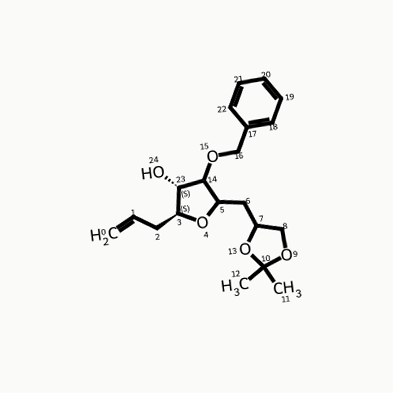 C=CC[C@@H]1OC(CC2COC(C)(C)O2)C(OCc2ccccc2)[C@H]1O